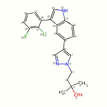 CC(C)(O)CCn1cc(-c2ccc3[nH]cc(-c4cccc(F)c4Cl)c3c2)cn1